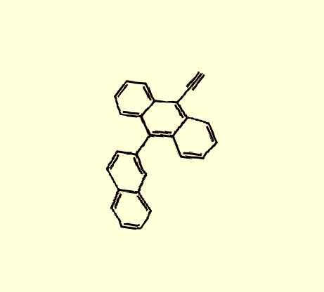 C#Cc1c2ccccc2c(-c2ccc3ccccc3c2)c2ccccc12